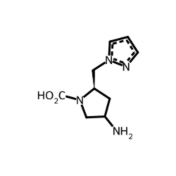 NC1C[C@H](Cn2cccn2)N(C(=O)O)C1